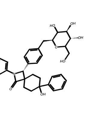 O=C1N(c2ccccc2)[C@H](c2ccc(C[C@@H]3OC(CO)[C@@H](O)[C@H](O)C3O)cc2)C12CCC(O)(c1ccccc1)CC2